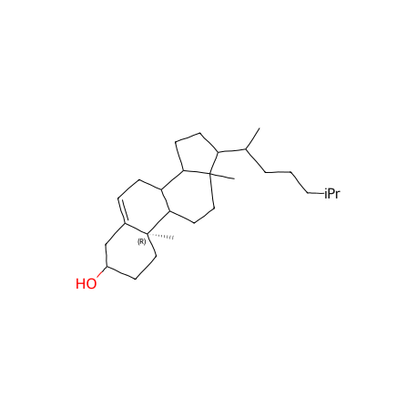 CC(C)CCCC(C)C1CCC2C3CC=C4CC(O)CC[C@]4(C)C3CCC12C